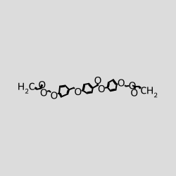 C=CC(=O)OCOc1ccc(COc2ccc(C(=O)Oc3ccc(OCOC(=O)C=C)cc3)cc2)cc1